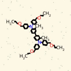 C=CCOCc1ccc(N(c2ccc(COCC=C)cc2)c2ccc(-c3ccc(N(c4ccc(COCC=C)cc4)c4ccc(COCC=C)cc4)c(C)c3)cc2C)cc1